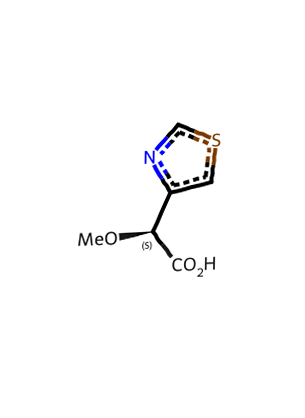 CO[C@H](C(=O)O)c1cscn1